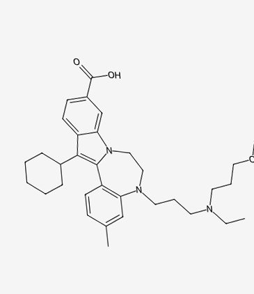 CCN(CCCOC)CCCN1CCn2c(c(C3CCCCC3)c3ccc(C(=O)O)cc32)-c2ccc(C)cc21